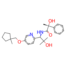 CC1(COc2ccc([C@@H](NC(=O)[C@](C)(O)c3ccccc3)C(C)(C)O)nc2)CCCC1